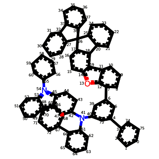 c1ccc(-c2cc(-c3cccc4c3oc3ccc5c(c34)-c3ccccc3C53c4ccccc4-c4ccccc43)cc(N(c3ccc4c(c3)c3ccccc3n4-c3ccccc3)c3ccccc3-c3ccccc3)c2)cc1